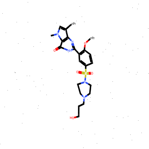 CCCOc1ccc(S(=O)(=O)N2CCN(CCCO)CC2)cc1-c1nc2c(CCC)cn(C)c2c(=O)[nH]1